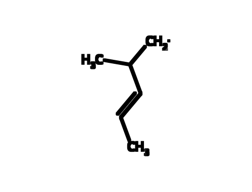 [CH2]C(C)C=CC